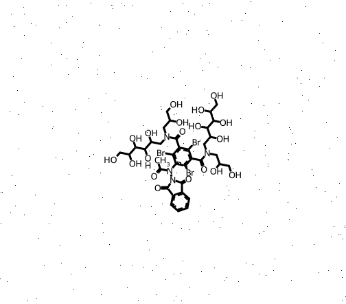 CC(=O)N(c1c(Br)c(C(=O)N(CC(O)CO)CC(O)C(O)C(O)C(O)CO)c(Br)c(C(=O)N(CC(O)CO)CC(O)C(O)C(O)C(O)CO)c1Br)N1C(=O)c2ccccc2C1=O